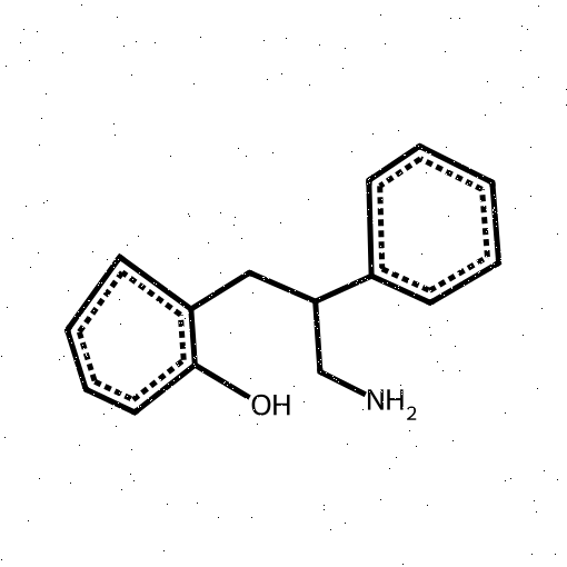 NCC(Cc1ccccc1O)c1ccccc1